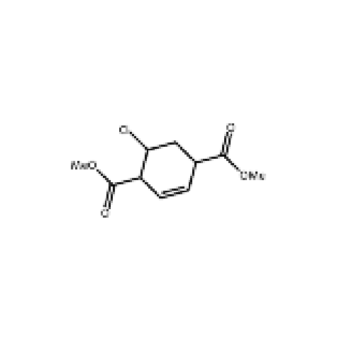 COC(=O)C1C=CC(C(=O)OC)C(Cl)C1